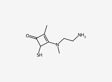 CC1=C(N(C)CCN)C(S)C1=O